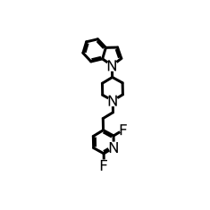 Fc1ccc(CCN2CCC(n3ccc4ccccc43)CC2)c(F)n1